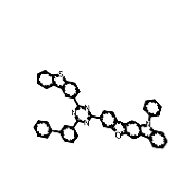 c1ccc(-c2cccc(-c3nc(-c4ccc5c(c4)oc4cc6c7ccccc7n(-c7ccccc7)c6cc45)nc(-c4ccc5sc6ccccc6c5c4)n3)c2)cc1